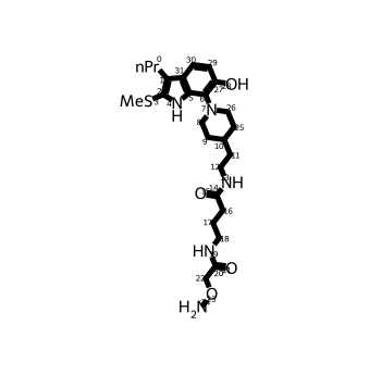 CCCc1c(SC)[nH]c2c(N3CCC(CCNC(=O)CCCNC(=O)CON)CC3)c(O)ccc12